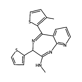 CNC1=Nc2ncccc2C(c2sccc2C)=NC1c1cccs1